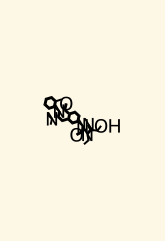 CCn1c(CO)nn(-c2ccc3c(=O)n(-c4ccccc4C)c(N(C)C)cc3c2)c1=O